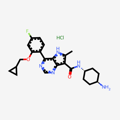 Cc1[nH]c2c(-c3ccc(F)cc3OCC3CC3)ncnc2c1C(=O)N[C@H]1CC[C@H](N)CC1.Cl